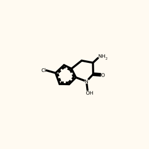 NC1Cc2cc(Cl)ccc2N(O)C1=O